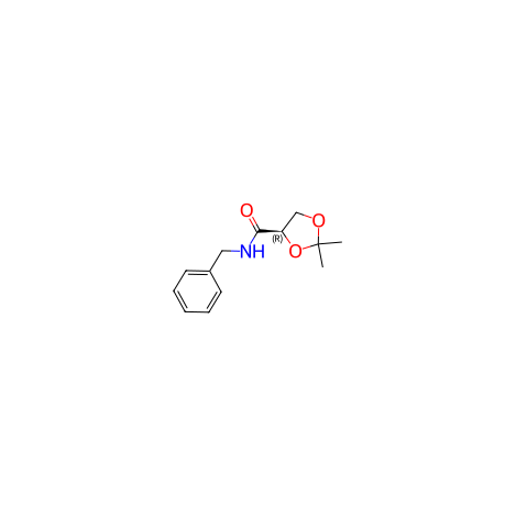 CC1(C)OC[C@H](C(=O)NCc2ccccc2)O1